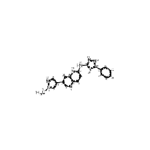 Cn1cc(-c2cnc3ccc(Nc4nnc(-c5ccccc5)s4)nc3c2)cn1